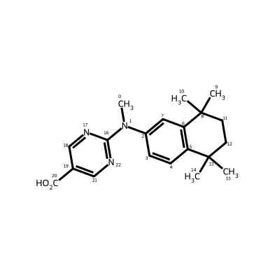 CN(c1ccc2c(c1)C(C)(C)CCC2(C)C)c1ncc(C(=O)O)cn1